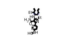 C=C/C=C\C(Nc1c(C(N)=O)c(-c2bbc(BO)cc2)nn1CC)=C(/C=C)CC